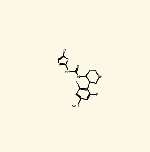 COc1cc(F)c(C2CNCCC2NC(=O)Nc2ncc(Cl)s2)c(F)c1